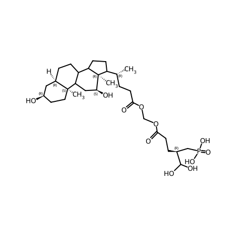 C[C@H](CCC(=O)OCOC(=O)CC[C@@H](CP(=O)(O)O)C(O)O)C1CCC2C3CC[C@@H]4C[C@H](O)CC[C@]4(C)C3C[C@H](O)[C@@]21C